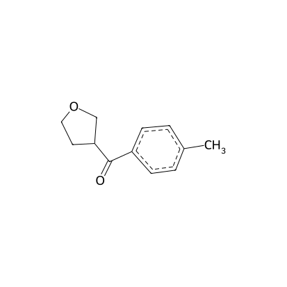 Cc1ccc(C(=O)C2CCOC2)cc1